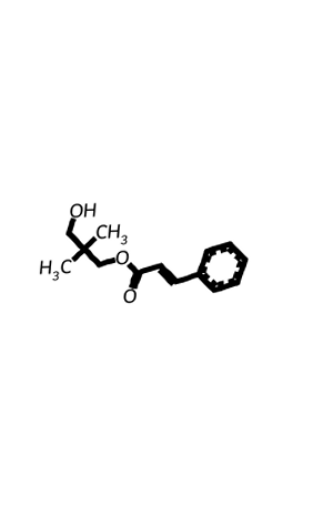 CC(C)(CO)COC(=O)C=Cc1ccccc1